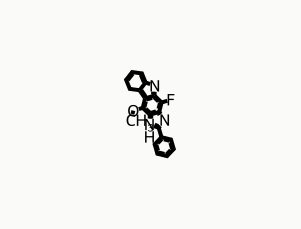 COc1c2c(c(F)c3nc(-c4ccccc4)[nH]c13)=NC1=CC=CCC=21